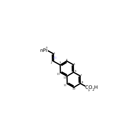 CCC/C=C/c1ccc2cc(C(=O)O)ccc2c1